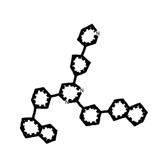 c1cncc(-c2ccc(-c3cc(-c4cccc(-c5cccc6ccccc56)c4)nc(-c4cccc(-c5ccc6ccccc6c5)c4)n3)cc2)c1